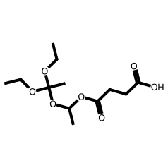 CCOC(C)(OCC)OC(C)OC(=O)CCC(=O)O